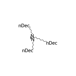 CCCCCCCCCCCCCCCCCC1N(CCCCCCCCCCCCCCC)C=CN1CCCCCCCCCCCCCCC